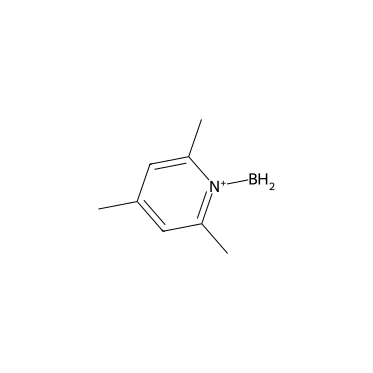 B[n+]1c(C)cc(C)cc1C